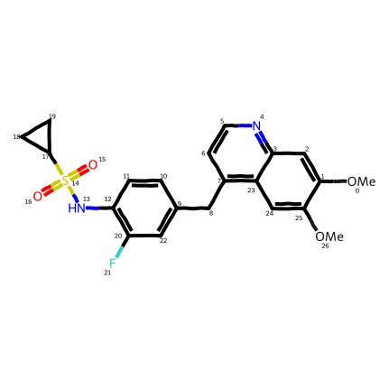 COc1cc2nccc(Cc3ccc(NS(=O)(=O)C4CC4)c(F)c3)c2cc1OC